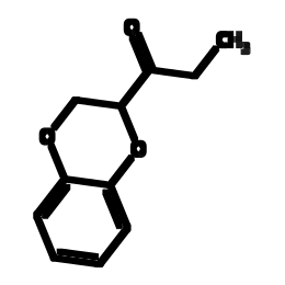 CCC(=O)C1COc2ccccc2O1